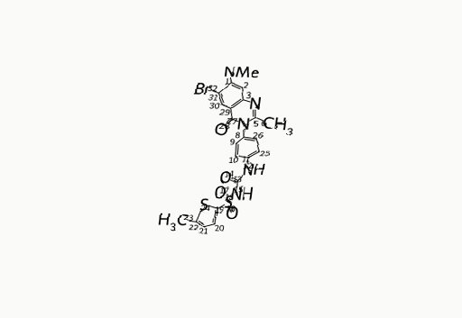 CNc1cc2nc(C)n(-c3ccc(NC(=O)NS(=O)(=O)c4ccc(C)s4)cc3)c(=O)c2cc1Br